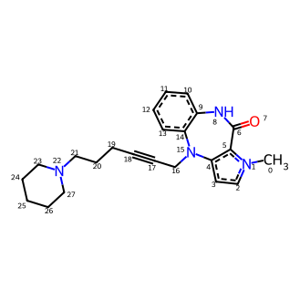 Cn1ccc2c1C(=O)Nc1ccccc1N2CC#CCCCN1CCCCC1